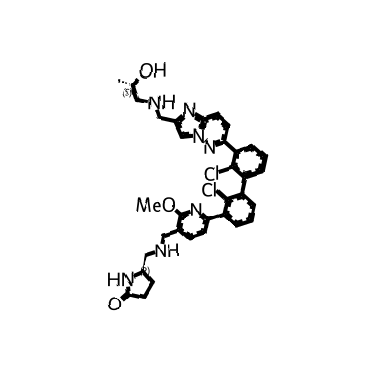 COc1nc(-c2cccc(-c3cccc(-c4ccc5nc(CNC[C@H](C)O)cn5n4)c3Cl)c2Cl)ccc1CNC[C@H]1CCC(=O)N1